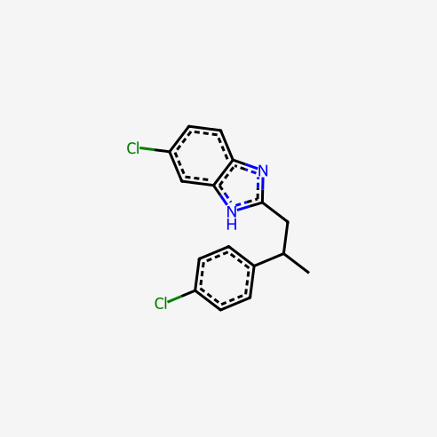 CC(Cc1nc2ccc(Cl)cc2[nH]1)c1ccc(Cl)cc1